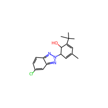 CC1=CC(n2nc3ccc(Cl)cc3n2)C(O)C(C(C)(C)C)=C1